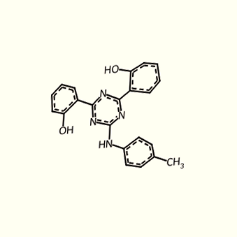 Cc1ccc(Nc2nc(-c3ccccc3O)nc(-c3ccccc3O)n2)cc1